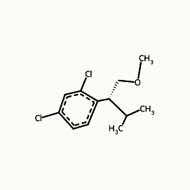 COC[C@@H](c1ccc(Cl)cc1Cl)C(C)C